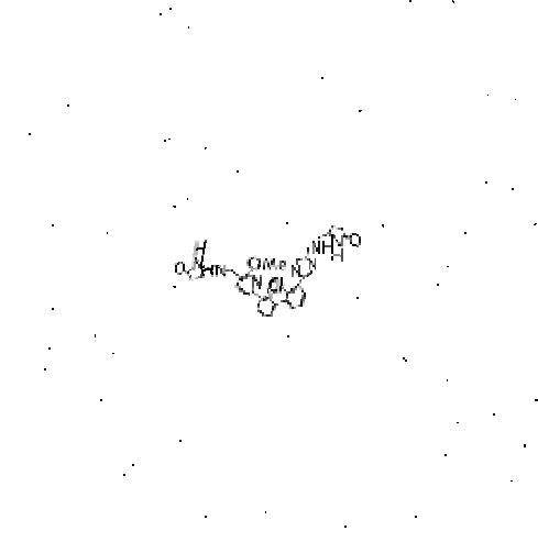 COc1nc(-c2cccc(-c3cccc(-c4cnc(CNCC5CCC(=O)N5)cn4)c3Cl)c2Cl)ccc1CNCC1CCC(=O)N1